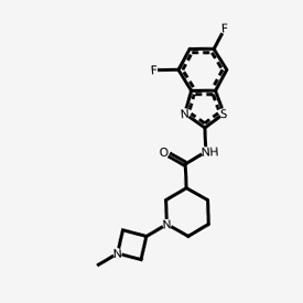 CN1CC(N2CCCC(C(=O)Nc3nc4c(F)cc(F)cc4s3)C2)C1